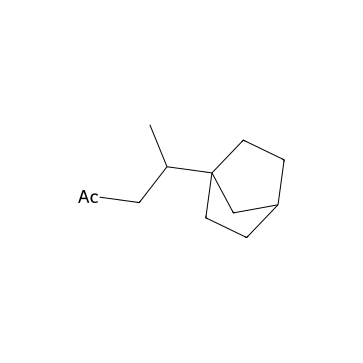 CC(=O)CC(C)C12CCC(CC1)C2